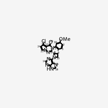 COc1cccc(-n2c([C@@H]3CCN3c3ncnc4[nH]cnc34)nn3ccc(Cl)c3c2=O)c1